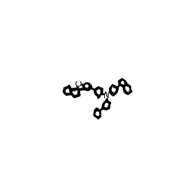 c1ccc(-c2cccc(N(c3ccc(-c4ccc5oc6c7ccccc7ccc6c5c4)cc3)c3ccc(-c4cccc5ccccc45)cc3)c2)cc1